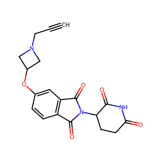 C#CCN1CC(Oc2ccc3c(c2)C(=O)N(C2CCC(=O)NC2=O)C3=O)C1